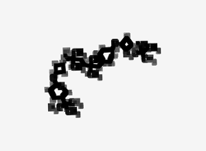 CC(C)(CCC(C)(C)N[C@H]1C[C@@H](Oc2ccc(C(C)(C)C)cn2)C1)Cc1ccc(O[C@H]2C[C@@H](NC(C)(C)C)C2)cc1